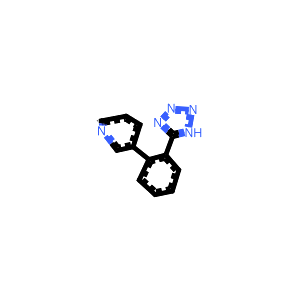 [c]1ccc(-c2ccccc2-c2nnn[nH]2)cn1